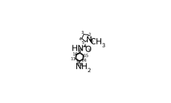 CN1CCC[C@H]1C(=O)Nc1ccc(N)cc1